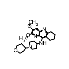 COc1cc2nc3c(c(NC4CCN(C5CCOCC5)CC4)c2nc1OC)CCCC3